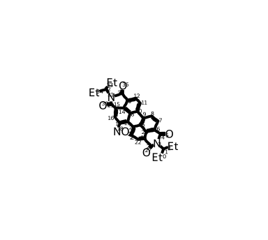 CCC(CC)N1C(=O)c2ccc3c4ccc5c6c(cc([N+](=O)[O-])c(c7ccc(c2c37)C1=O)c64)C(=O)N(C(CC)CC)C5=O